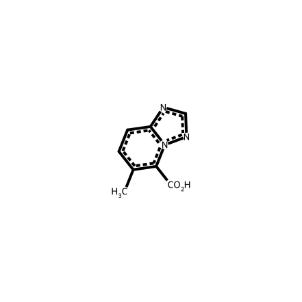 Cc1ccc2ncnn2c1C(=O)O